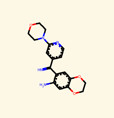 N=C(c1ccnc(N2CCOCC2)c1)c1cc2c(cc1N)OCCO2